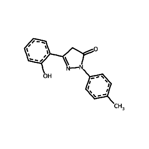 Cc1ccc(N2N=C(c3ccccc3O)CC2=O)cc1